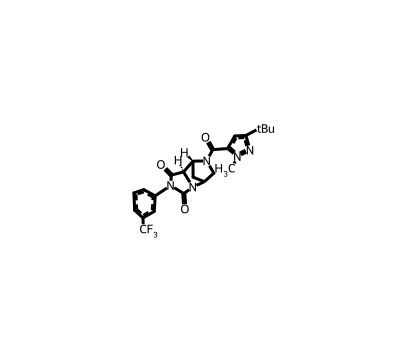 Cn1nc(C(C)(C)C)cc1C(=O)N1CC2C[C@@H]1[C@@H]1C(=O)N(c3cccc(C(F)(F)F)c3)C(=O)N21